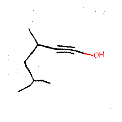 CC(C)CC(C)C#CO